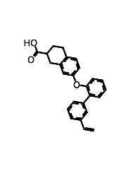 C=Cc1cccc(-c2ccccc2Oc2ccc3c(c2)CC(C(=O)O)CC3)c1